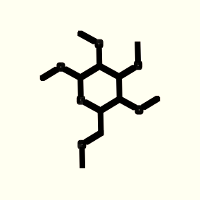 COCC1OC(OC)C(OC)C(OC)C1OC